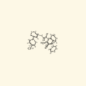 O=C(NCc1cccc(-c2ccc(Cl)cc2)c1)c1c(O)c(=O)n(-c2ccccc2)c2ccccc12